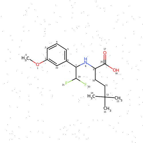 COc1cccc(C(NC(CCC(C)(C)C)C(=O)O)C(F)F)c1